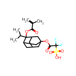 C=C(C)C(=O)OC1(C(C)C)C2CC3CC1CC(OC(=O)C(F)(F)S(=O)(=O)O)(C3)C2